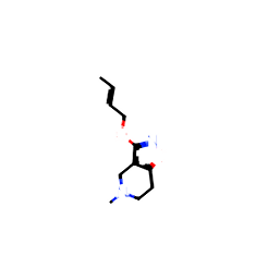 C/C=C/COc1noc2c1CN(C)CC2